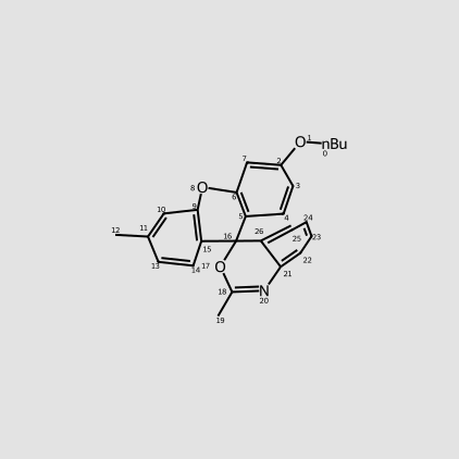 CCCCOc1ccc2c(c1)Oc1cc(C)ccc1C21OC(C)=Nc2ccccc21